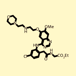 CCOC(=O)CNC(=O)Cc1ccc(Cl)cc1Nc1ncnc2cc(OC)c(OCCNCCN3CCOCC3)cc12